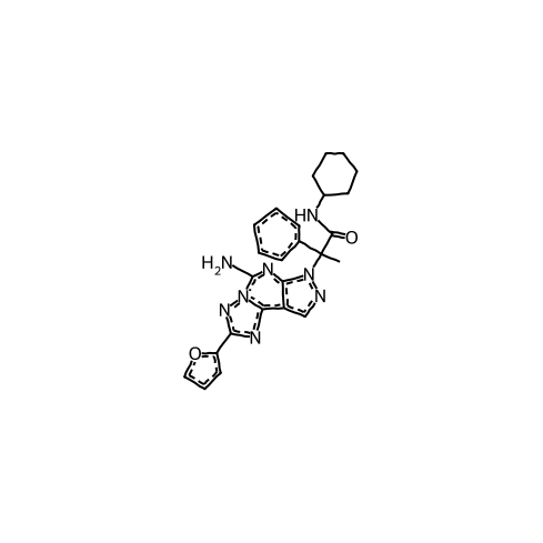 CC(C(=O)NC1CCCCC1)(c1ccccc1)n1ncc2c1nc(N)n1nc(-c3ccco3)nc21